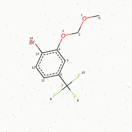 COCOc1cc(C(F)(F)F)ccc1Br